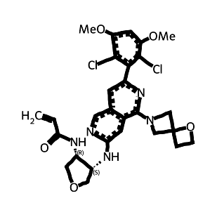 C=CC(=O)N[C@H]1COC[C@H]1Nc1cc2c(N3CC4(CCO4)C3)nc(-c3c(Cl)c(OC)cc(OC)c3Cl)cc2cn1